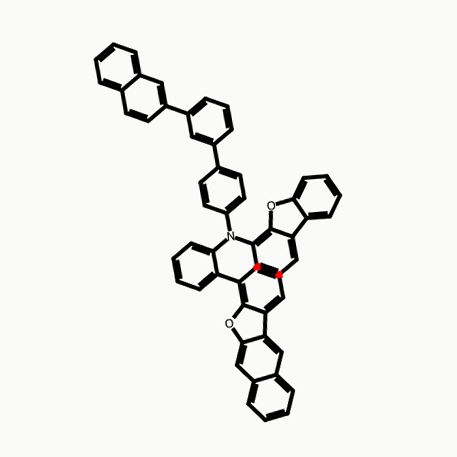 c1cc(-c2ccc(N(c3ccccc3-c3cccc4c3oc3cc5ccccc5cc34)c3cccc4c3oc3ccccc34)cc2)cc(-c2ccc3ccccc3c2)c1